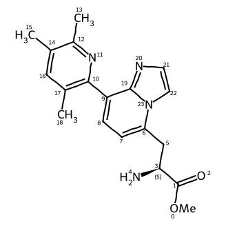 COC(=O)[C@@H](N)Cc1ccc(-c2nc(C)c(C)cc2C)c2nccn12